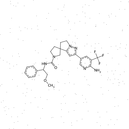 COCC(NC(=O)N1CCC2(CCn3nc(-c4cnc(N)c(C(F)(F)F)c4)cc32)C1)c1ccccc1